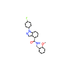 COc1ccccc1CNC(=O)c1cccc2c1cnn2-c1ccc(F)cc1